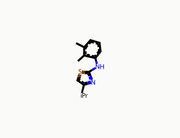 Cc1cccc(Nc2nc(C(C)C)cs2)c1C